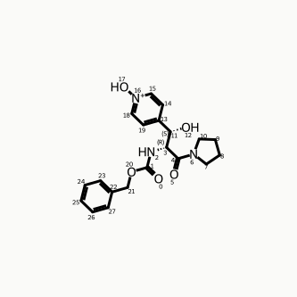 O=C(N[C@@H](C(=O)N1CCCC1)[C@@H](O)c1cc[n+](O)cc1)OCc1ccccc1